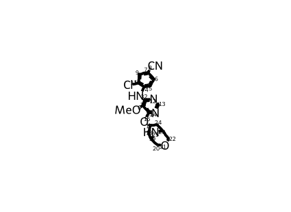 COc1c(Nc2ccc(C#N)cc2Cl)ncnc1OC1CC2COCC(C1)N2